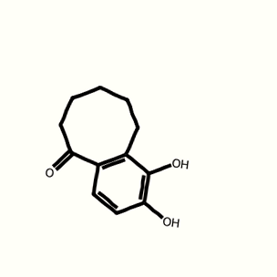 O=C1CCCCCc2c1ccc(O)c2O